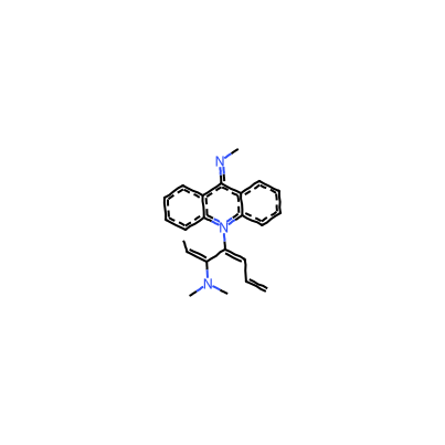 C=C/C=C(\C(=C/C)N(C)C)n1c2ccccc2c(=NC)c2ccccc21